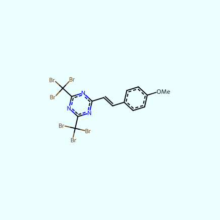 COc1ccc(C=Cc2nc(C(Br)(Br)Br)nc(C(Br)(Br)Br)n2)cc1